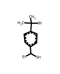 CCC(S)c1ccc(C(C)(C)C(C)C)cc1